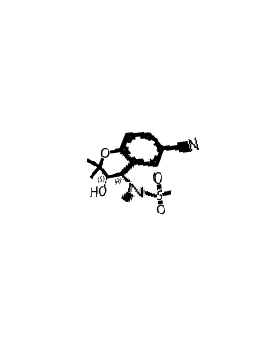 CN([C@@H]1c2cc(C#N)ccc2OC(C)(C)[C@H]1O)S(C)(=O)=O